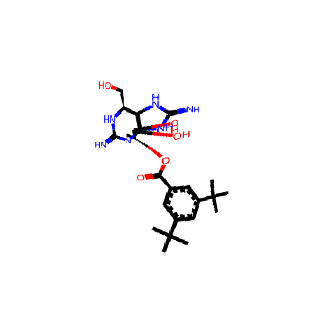 CC(C)(C)c1cc(C(=O)O[C@H]2CN3C(=N)N[C@@H](CO)C4NC(=N)N[C@@]43C2(O)O)cc(C(C)(C)C)c1